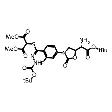 COC(=O)C(S/C(=N/NC(=O)OC(C)(C)C)c1ccc(N2CC([C@H](N)C(=O)OC(C)(C)C)OC2=O)cc1F)C(=O)OC